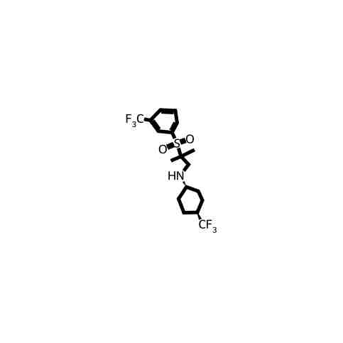 CC(C)(CN[C@H]1CC[C@H](C(F)(F)F)CC1)S(=O)(=O)c1cccc(C(F)(F)F)c1